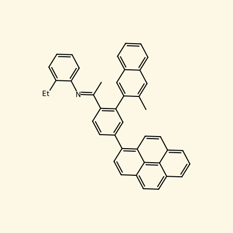 CCc1ccccc1/N=C(\C)c1ccc(-c2ccc3ccc4cccc5ccc2c3c45)cc1-c1cc2ccccc2cc1C